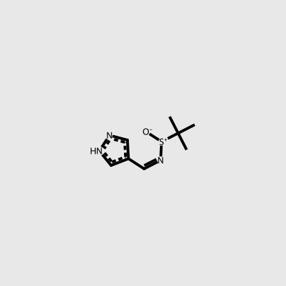 CC(C)(C)[S+]([O-])/N=C\c1cn[nH]c1